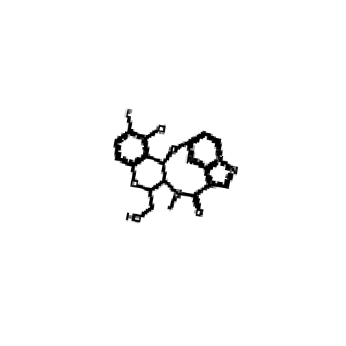 CN1C(=O)c2cnn3ccc(nc23)OC2c3c(ccc(F)c3Cl)OC(CO)C21